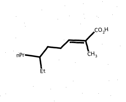 CCCC(CC)CCC=C(C)C(=O)O